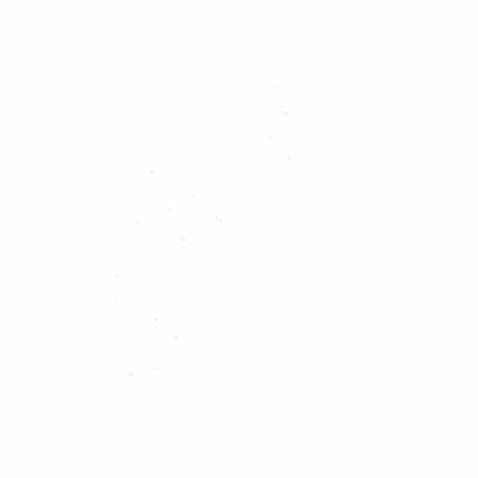 Cc1n(CC2CCc3c(c4ccccc4n3C)C2=O)cc[n+]1C(OC(=O)N(CCN)C(C)C)C(C)C.Cl